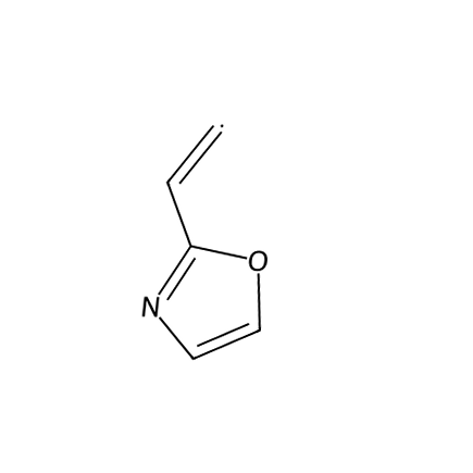 [CH]=Cc1ncco1